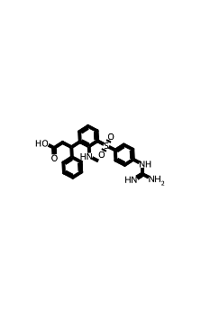 CNc1c(C(CC(=O)O)c2ccccc2)cccc1S(=O)(=O)c1ccc(NC(=N)N)cc1